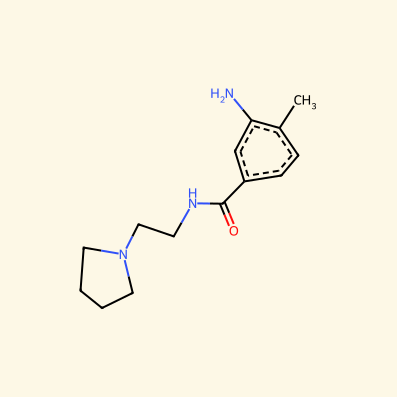 Cc1ccc(C(=O)NCCN2CCCC2)cc1N